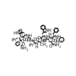 CC(C)C[C@H](NC(=O)[C@H](Cc1c[nH]cn1)NC(=O)CNC(=O)[C@@H](NC(=O)[C@H](C)NC(=O)[C@H](Cc1c[nH]c2ccccc12)NC(=O)[C@H](CCC(N)=O)NC(=O)[C@@H](Cc1ccccc1)NC(=O)[C@@H]1CCCCN1)C(C)C)C(=O)N1CCC[C@H]1C(N)=O